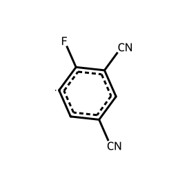 N#Cc1c[c]c(F)c(C#N)c1